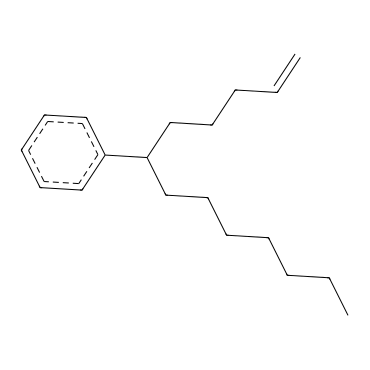 C=CCCCC(CCCCCCC)c1ccccc1